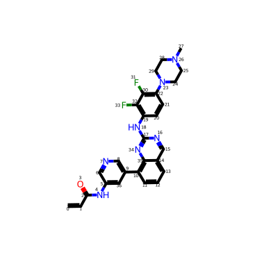 C=CC(=O)Nc1cncc(-c2cccc3cnc(Nc4ccc(N5CCN(C)CC5)c(F)c4F)nc23)c1